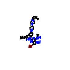 COc1cc(N2CCC(N3CCN(C)CC3)CC2)ccc1Nc1nc(NC2CC2)c2[nH]cc(Br)c2n1